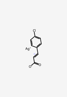 O=C([O-])/C=C/c1ccc(Cl)cc1.[Ag+]